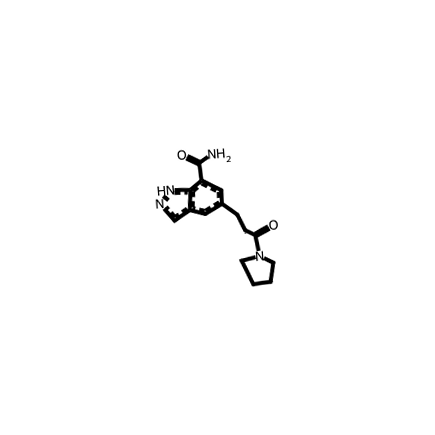 NC(=O)c1cc(C[CH]C(=O)N2CCCC2)cc2cn[nH]c12